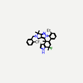 CCc1cccc2c1-n1nc3c(c1C1(C)C2=CC(C)(F)c2[nH]ccc21)CN(Cc1ccccc1C(F)(F)F)C3(C)C